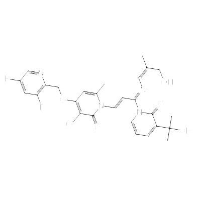 C/C(=C/N=C(\C=C\n1c(C)cc(OCc2ncc(F)cc2F)c(Cl)c1=O)n1cccc(C(C)(C)O)c1=O)[C@H](C)O